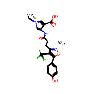 CCn1cc(NC(=O)CCc2noc(-c3ccc(O)cc3)c2C(F)(F)F)c(C(=O)O)c1.[KH]